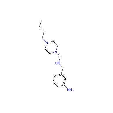 CCCCN1CCN(CNCc2cccc(N)c2)CC1